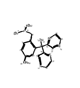 CC(C)(C)c1ccc(CP(C(C)(C)C)C(C)(C)C)c(C(P)(c2cnccn2)c2cnccn2)c1